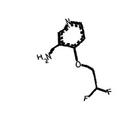 Nc1cnccc1OCC(F)F